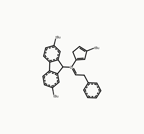 CC(C)(C)C1=CC[C]([Zr](=[CH]Cc2ccccc2)[CH]2c3cc(C(C)(C)C)ccc3-c3ccc(C(C)(C)C)cc32)=C1